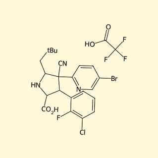 CC(C)(C)CC1NC(C(=O)O)C(c2cccc(Cl)c2F)C1(C#N)c1ccc(Br)cn1.O=C(O)C(F)(F)F